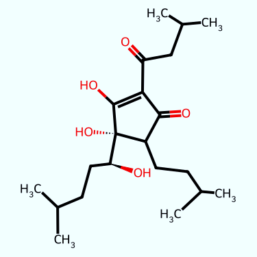 CC(C)CCC1C(=O)C(C(=O)CC(C)C)=C(O)[C@]1(O)[C@@H](O)CCC(C)C